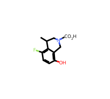 CC1CN(C(=O)O)Cc2c(O)ccc(F)c21